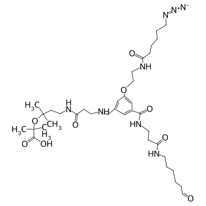 CC(C)(CCNC(=O)CCNCc1cc(OCCNC(=O)CCCCCN=[N+]=[N-])cc(C(=O)NCCC(=O)NCCCCCC=O)c1)OC(C)(C)C(=O)O